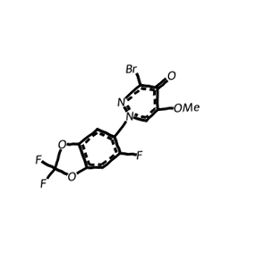 COc1cn(-c2cc3c(cc2F)OC(F)(F)O3)nc(Br)c1=O